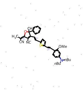 [C-]#[N+]C1=C(/C=C/c2ccc(/C=C/c3ccc(N(CCCC)CCCC)cc3OC)s2)C(C)(c2ccccc2)O/C1=C(\C)C#N